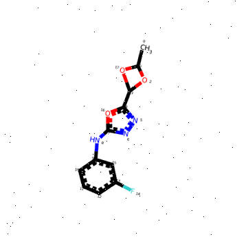 CC1OC(c2nnc(Nc3cccc(F)c3)o2)O1